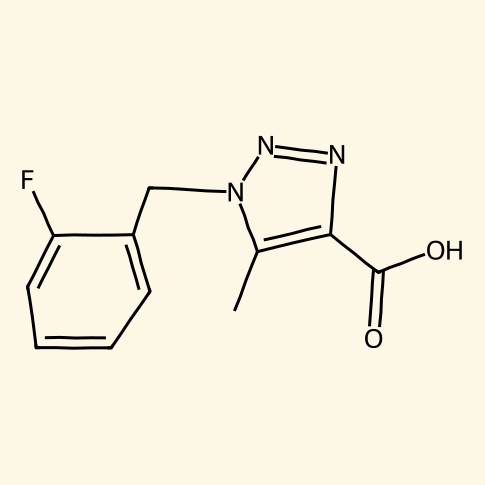 Cc1c(C(=O)O)nnn1Cc1ccccc1F